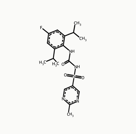 Cc1ncc(S(=O)(=O)NC(=O)Nc2c(C(C)C)cc(F)cc2C(C)C)cn1